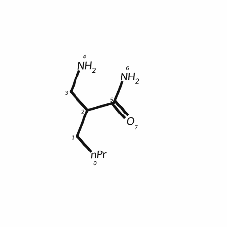 CCCCC(CN)C(N)=O